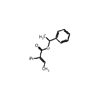 CC=C(C(=O)OC(C)c1ccccc1)C(C)C